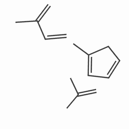 C=C(C)C.C=CC(=C)C.CC1=CC=CC1